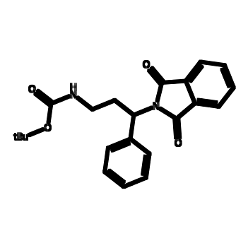 CC(C)(C)OC(=O)NCCC(c1ccccc1)N1C(=O)c2ccccc2C1=O